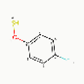 Fc1ccc(OS)cc1